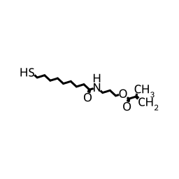 C=C(C)C(=O)OCCCNC(=O)CCCCCCCCS